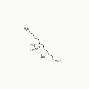 CCCCCCCCCCCCN.O=S(=O)(O)CCO